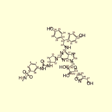 NS(=O)(=O)c1cccc(NC(=O)NC2CCN(c3nc(NCC(c4ccc(O)cc4)c4ccc(O)cc4)c4ncn([C@@H]5O[C@H](c6cc(CO)no6)[C@@H](O)[C@H]5O)c4n3)C2)c1